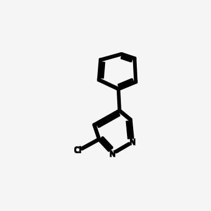 Clc1cc(-c2ccccc2)cnn1